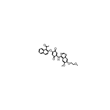 COCCOc1cc2ncnc(NC3=CC(=O)C(Oc4ccc5ccccc5c4C(C)=O)=CC3=O)c2cc1OC